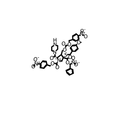 COc1ccc(CS[C@]2(C(=O)OC(c3ccccc3)[N+](=O)[O-])CN(C(=O)OCc3ccc([N+](=O)[O-])cc3)[C@H](C(=O)N3CCNCC3)C2COC(=O)OCc2ccc([N+](=O)[O-])cc2)cc1